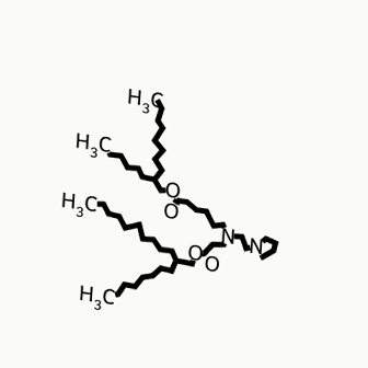 CCCCCCCCCCC(CCCCCCCC)COC(=O)CCN(CCCCCC(=O)OCC(CCCCCC)CCCCCCCC)CCN1CCCC1